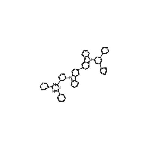 c1ccc(-c2cc(-c3ccccc3)cc(-n3c4ccccc4c4cc(-c5ccc6c(c5)c5ccccc5n6-c5cccc(-c6nc(-c7ccccc7)nc(-c7ccccc7)n6)c5)ccc43)c2)cc1